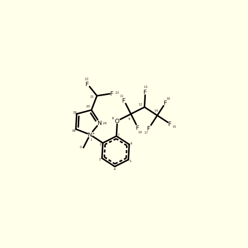 C[N+]1(c2ccccc2OC(F)(F)C(F)C(F)(F)F)C=[C]C(C(F)F)=N1